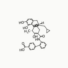 C[C@H]1C(O)=C(C(=O)Nc2ccccc2-c2ccc(C(=O)O)cc2)C[C@@]2(O)[C@H]3Cc4ccc(O)c(O)c4[C@@]12CCN3CC1CC1